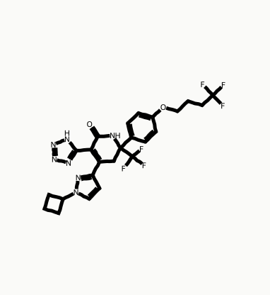 O=C1NC(c2ccc(OCCCC(F)(F)F)cc2)(C(F)(F)F)CC(c2ccn(C3CCC3)n2)=C1c1nnn[nH]1